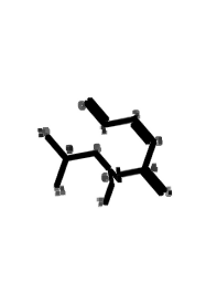 C=C/C=C\C(=C)N(C)CC(C)C